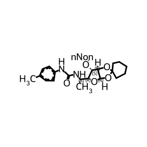 CCCCCCCCCO[C@@H]1[C@H]2OC3(CCCCC3)O[C@H]2O[C@@H]1[C@H](C)NC(=O)Nc1ccc(C)cc1